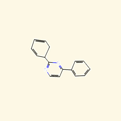 C1=CCC(c2nccc(-c3ccccc3)n2)C=C1